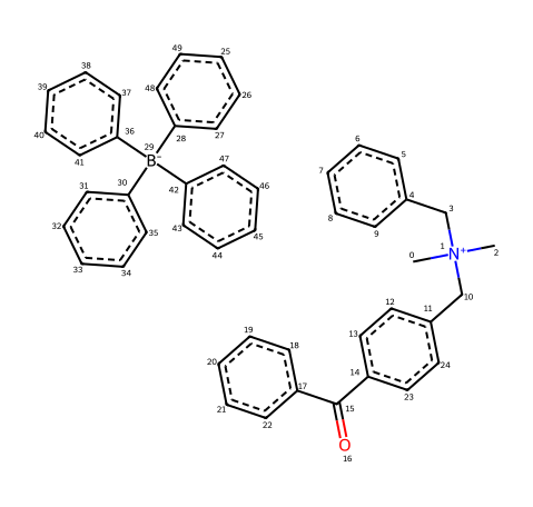 C[N+](C)(Cc1ccccc1)Cc1ccc(C(=O)c2ccccc2)cc1.c1ccc([B-](c2ccccc2)(c2ccccc2)c2ccccc2)cc1